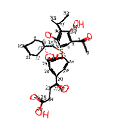 CC(=O)c1ccc(O[C@H]2CCCC[C@]2(O)CSc2ccc(C(=O)CCC(=O)O)cc2)c(C(C)C)c1O